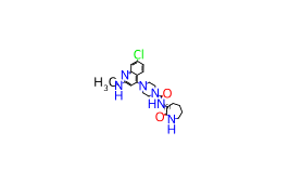 CNc1cc(N2CCN(C(=O)N[C@H]3CCCCNC3=O)CC2)c2ccc(Cl)cc2n1